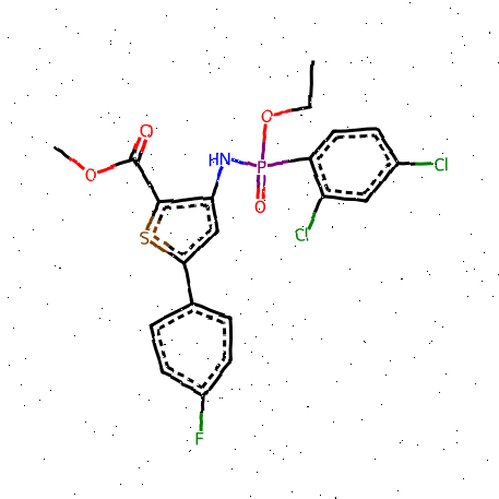 CCOP(=O)(Nc1cc(-c2ccc(F)cc2)sc1C(=O)OC)c1ccc(Cl)cc1Cl